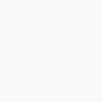 COC(=O)[C@H](O)CCC(C)(C)OC(=O)CC(=O)Cc1ccc(-c2ccccc2)cc1